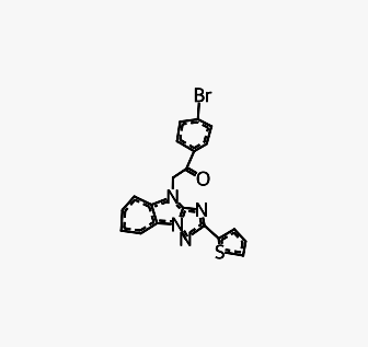 O=C(Cn1c2ccccc2n2nc(-c3cccs3)nc12)c1ccc(Br)cc1